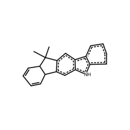 CC1(C)c2cc3c(cc2C2C=CC=CC21)[nH]c1ccccc13